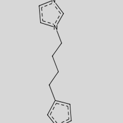 c1cn(CCCCc2ccsc2)cn1